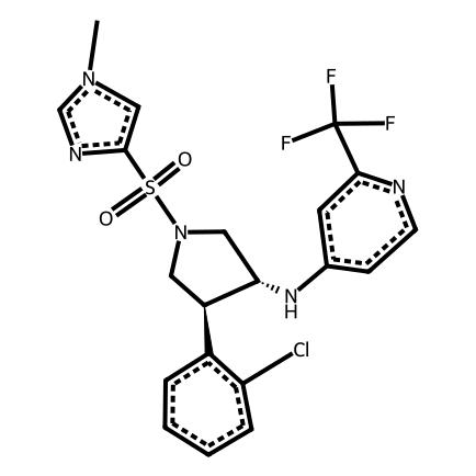 Cn1cnc(S(=O)(=O)N2C[C@H](Nc3ccnc(C(F)(F)F)c3)[C@@H](c3ccccc3Cl)C2)c1